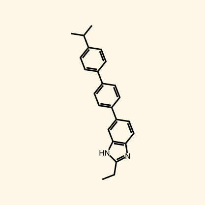 CCc1nc2ccc(-c3ccc(-c4ccc(C(C)C)cc4)cc3)cc2[nH]1